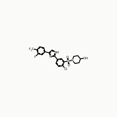 O=S(=O)(c1cc(-c2nc(-c3ccc(C(F)(F)F)c(F)c3)c[nH]2)ccc1Cl)N1CCC(O)CC1